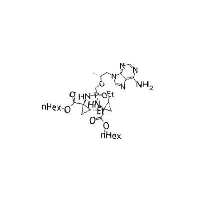 CCCCCCOC(=O)[C@@]1(NP(=O)(CO[C@H](C)Cn2cnc3c(N)ncnc32)N[C@]2(C(=O)OCCCCCC)C[C@H]2CC)CC1CC